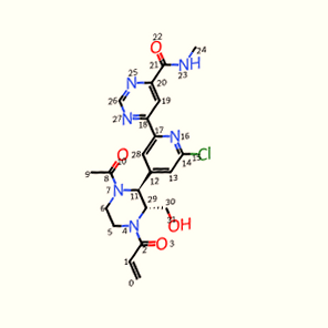 C=CC(=O)N1CCN(C(C)=O)[C@@H](c2cc(Cl)nc(-c3cc(C(=O)NC)ncn3)c2)[C@@H]1CO